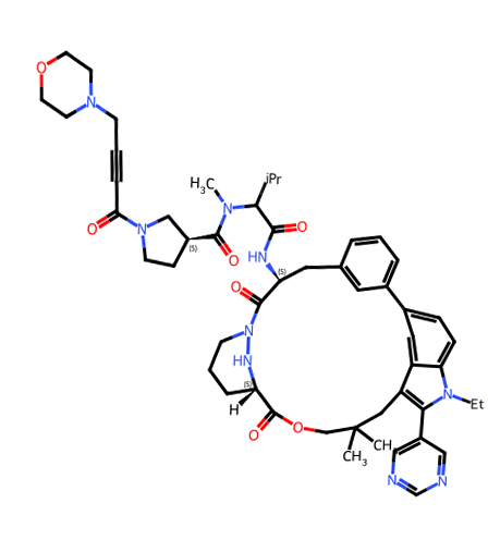 CCn1c(-c2cncnc2)c2c3cc(ccc31)-c1cccc(c1)C[C@H](NC(=O)C(C(C)C)N(C)C(=O)[C@H]1CCN(C(=O)C#CCN3CCOCC3)C1)C(=O)N1CCC[C@H](N1)C(=O)OCC(C)(C)C2